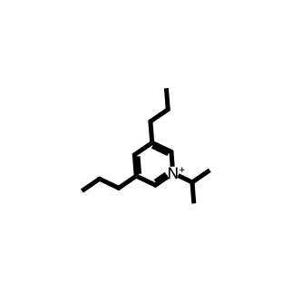 CCCc1cc(CCC)c[n+](C(C)C)c1